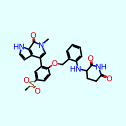 Cn1cc(-c2cc(S(C)(=O)=O)ccc2OCc2ccccc2NC2CCC(=O)NC2=O)c2cc[nH]c2c1=O